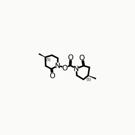 C[C@H]1CCN(OC(=O)N2CC[C@H](C)CC2=O)C(=O)C1